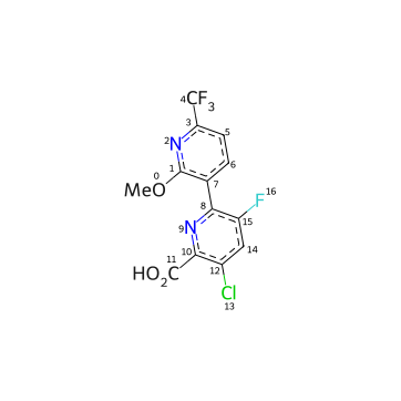 COc1nc(C(F)(F)F)ccc1-c1nc(C(=O)O)c(Cl)cc1F